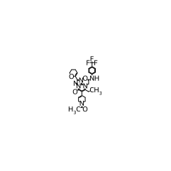 CCc1c(C2=CCN(C(C)=O)CC2)c(=O)n2nc(C3=CCCCO3)nc2n1CC(=O)Nc1ccc(C(F)(F)F)cc1